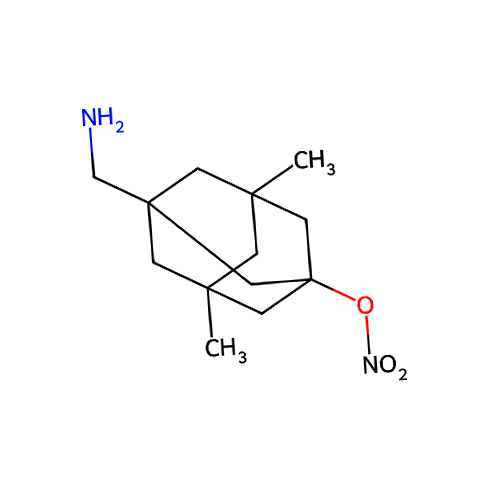 CC12CC3(C)CC(CN)(C1)CC(O[N+](=O)[O-])(C2)C3